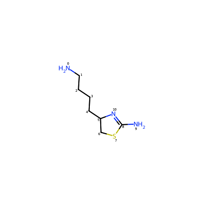 NCCCCC1CSC(N)=N1